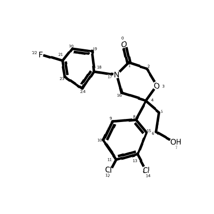 O=C1COC(CCO)(c2ccc(Cl)c(Cl)c2)CN1c1ccc(F)cc1